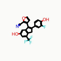 N#Cc1occc1C1=C(c2ccc(O)c(F)c2)Cc2c1cc(O)cc2C(F)(F)F